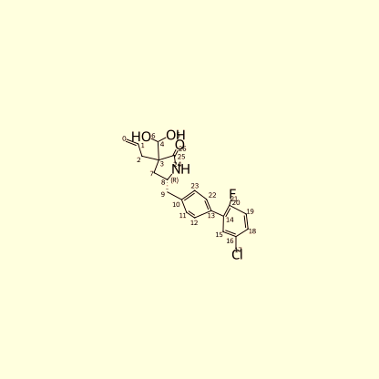 C=CCC1(C(O)O)C[C@@H](Cc2ccc(-c3cc(Cl)ccc3F)cc2)NC1=O